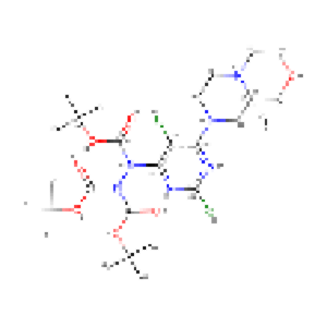 CC(C)(C)OC(=O)N(C(=O)OC(C)(C)C)N(C(=O)OC(C)(C)C)c1nc(Cl)nc(N2CCN3CCOC[C@H]3C2)c1F